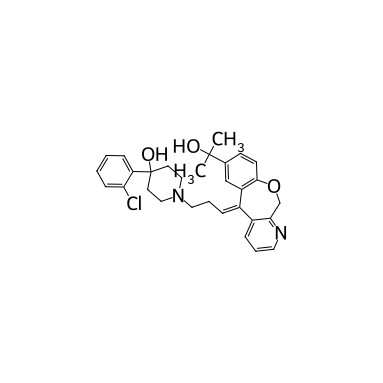 CC(C)(O)c1ccc2c(c1)C(=CCCN1CCC(O)(c3ccccc3Cl)CC1)c1cccnc1CO2